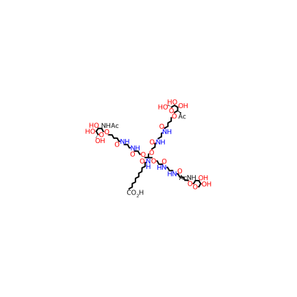 CC(=O)C[C@H]1[C@H](OCCCCC(=O)NCCCNC(=O)CCOCC(COCCC(=O)NCCCNC(=O)CCCCO[C@@H]2OC[C@H](O)[C@H](O)[C@H]2NC(C)=O)(COCCC(=O)NCCCNC(=O)CCCCO[C@@H]2O[C@H](CO)[C@H](O)[C@H](O)[C@H]2NC(C)=O)NC(=O)CCCCCCCCCCC(=O)O)O[C@H](CO)[C@H](O)[C@@H]1O